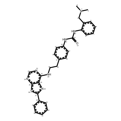 CN(C)Cc1ccccc1NC(=O)Nc1ccc(CCNc2ncnc3sc(-c4ccccc4)nc23)cc1